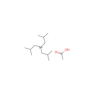 CC(=O)O.CC(C)[CH2][Sn]([CH2]C(C)C)[CH2]C(C)C